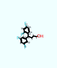 OCCCC(c1cc(F)cc(F)c1)c1ccc(F)cc1F